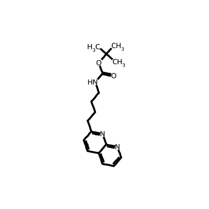 CC(C)(C)OC(=O)NCCCCc1ccc2cccnc2n1